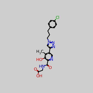 Cc1c(-c2cn(CCCc3ccc(Cl)cc3)nn2)cnc(C(=O)NCC(=O)O)c1O